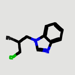 CC(C)C(CCl)Cn1cnc2ccccc21